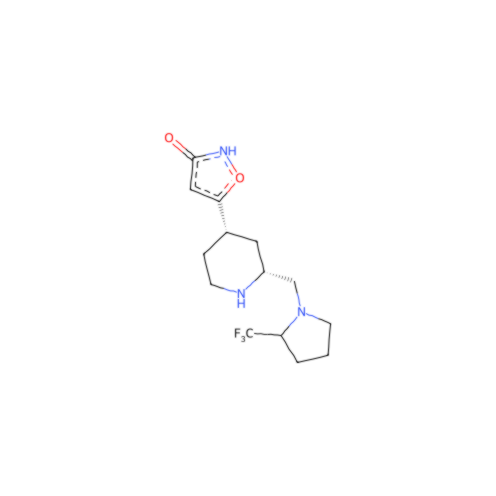 O=c1cc([C@H]2CCN[C@@H](CN3CCCC3C(F)(F)F)C2)o[nH]1